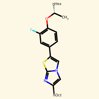 CCCCCCCCc1cn2cc(-c3ccc(O[C@@H](C)CCCCCC)c(F)c3)sc2n1